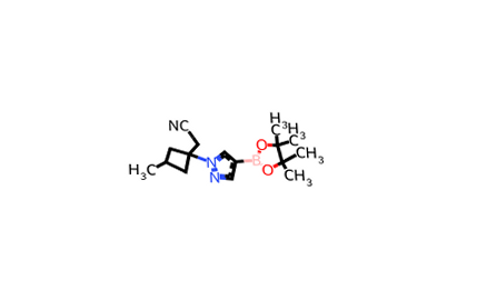 CC1CC(CC#N)(n2cc(B3OC(C)(C)C(C)(C)O3)cn2)C1